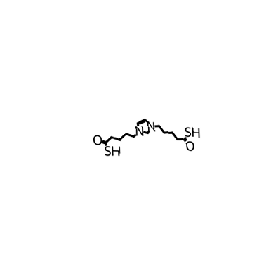 O=C(S)CCCCN1C=CN(CCCCC(=O)S)C1